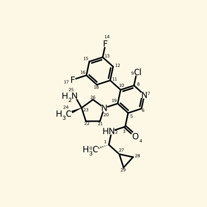 C[C@H](NC(=O)c1cnc(Cl)c(-c2cc(F)cc(F)c2)c1N1CC[C@](C)(N)C1)C1CC1